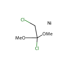 COC(Cl)(CCl)OC.[Ni]